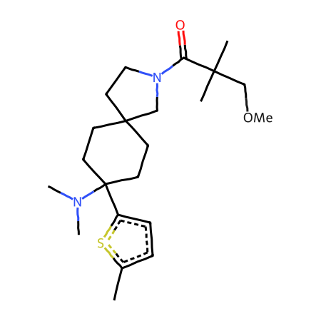 COCC(C)(C)C(=O)N1CCC2(CCC(c3ccc(C)s3)(N(C)C)CC2)C1